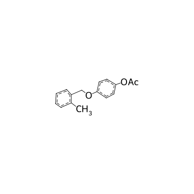 CC(=O)Oc1ccc(OCc2ccccc2C)cc1